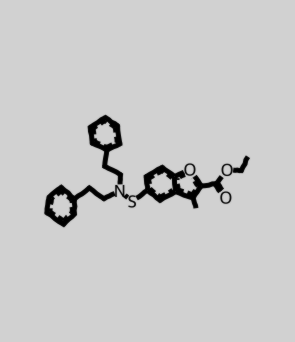 CCOC(=O)c1oc2ccc(SN(CCc3ccccc3)CCc3ccccc3)cc2c1C